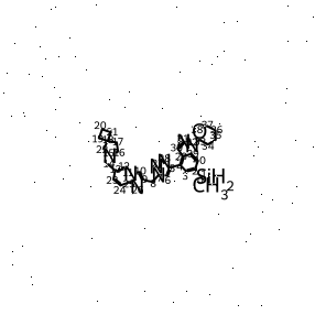 C[SiH2]c1cc(-c2cn(Cc3cn4cc(CN5CCC6(CCC6)C5)ccc4n3)nn2)c2cnn(C3CCCCO3)c2c1